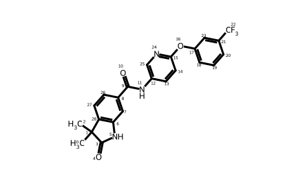 CC1(C)C(=O)Nc2cc(C(=O)Nc3ccc(Oc4cccc(C(F)(F)F)c4)nc3)ccc21